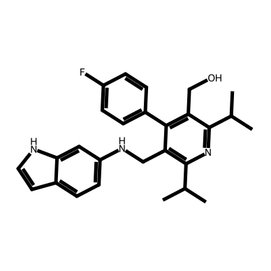 CC(C)c1nc(C(C)C)c(CNc2ccc3cc[nH]c3c2)c(-c2ccc(F)cc2)c1CO